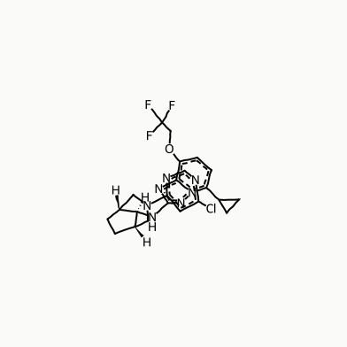 FC(F)(F)COc1ccc(C2CC2)n2nc(N[C@@H]3[C@@H]4CC[C@H]3CN(c3cc(Cl)ncn3)C4)nc12